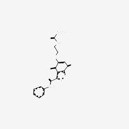 CNC(=O)NCCSC1=CC(=O)c2onc(C(=O)Nc3ccccc3)c2C1=O